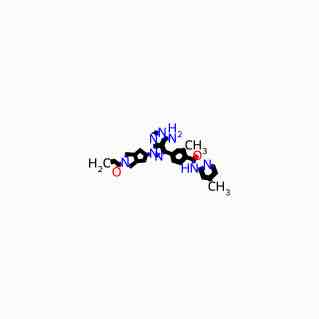 C=CC(=O)N1CC2CC(n3nc(-c4ccc(C(=O)Nc5cc(C)ccn5)c(C)c4)c4c(N)ncnc43)CC2C1